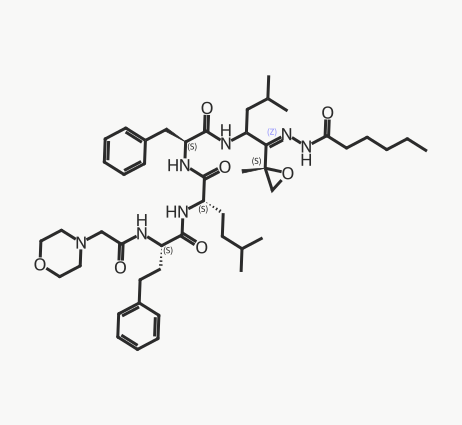 CCCCCC(=O)N/N=C(/C(CC(C)C)NC(=O)[C@H](Cc1ccccc1)NC(=O)[C@H](CCC(C)C)NC(=O)[C@H](CCc1ccccc1)NC(=O)CN1CCOCC1)[C@@]1(C)CO1